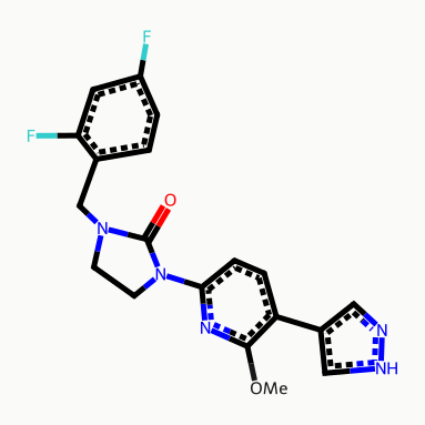 COc1nc(N2CCN(Cc3ccc(F)cc3F)C2=O)ccc1-c1cn[nH]c1